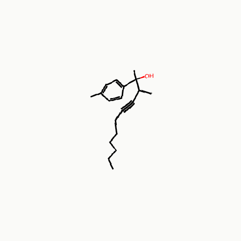 CCCCCCC#CC(C)C(C)(O)c1ccc(C)cc1